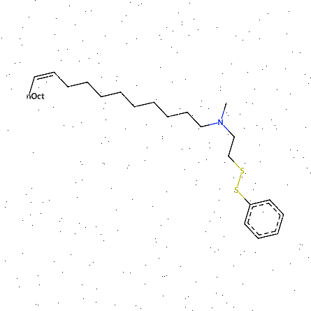 CCCCCCCC/C=C\CCCCCCCCCN(C)CCSSc1ccccc1